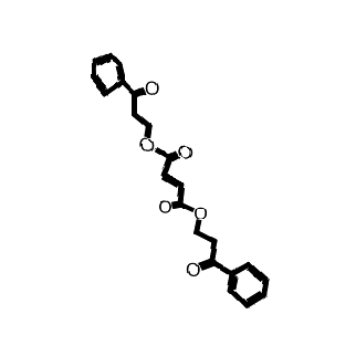 O=C(/C=C/C(=O)OCCC(=O)c1ccccc1)OCCC(=O)c1ccccc1